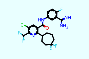 N=C(N)c1cc(NC(=O)c2cc(Cl)c(C(F)F)nc2C2CCCC(F)(F)CC2)ccc1F